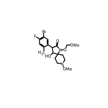 COCON1C(=O)C(c2cc(Br)c(F)cc2C)C(O)C12CCN(OC)CC2